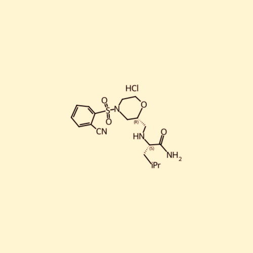 CC(C)C[C@H](NC[C@@H]1CN(S(=O)(=O)c2ccccc2C#N)CCO1)C(N)=O.Cl